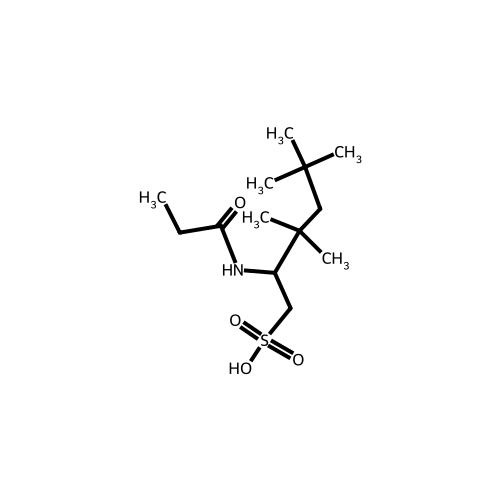 CCC(=O)NC(CS(=O)(=O)O)C(C)(C)CC(C)(C)C